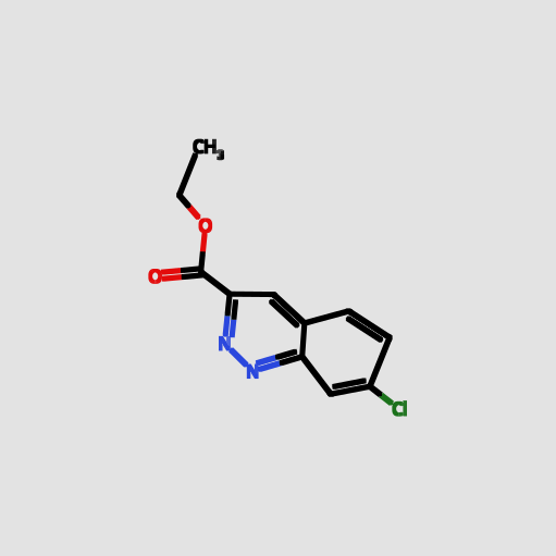 CCOC(=O)c1cc2ccc(Cl)cc2nn1